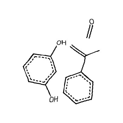 C=C(C)c1ccccc1.C=O.Oc1cccc(O)c1